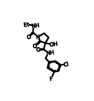 CCNC(=O)N1CCC(O)(C(=O)NCc2cc(F)cc(Cl)c2)C1=O